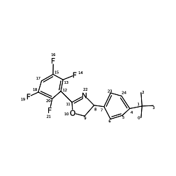 CC(C)(C)c1ccc(C2COC(c3c(F)c(F)cc(F)c3F)=N2)cc1